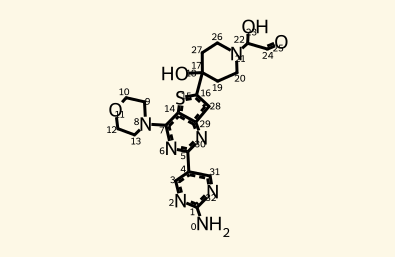 Nc1ncc(-c2nc(N3CCOCC3)c3sc(C4(O)CCN(C(O)C=O)CC4)cc3n2)cn1